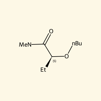 CCCCO[C@@H](CC)C(=O)NC